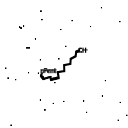 [CH]=CCCCCCC/C=C\C/C=C\CCCCC